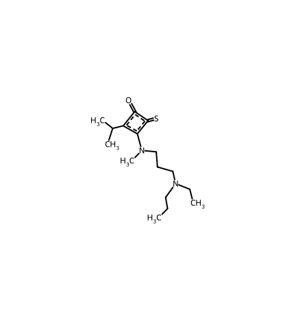 CCCN(CC)CCCN(C)c1c(C(C)C)c(=O)c1=S